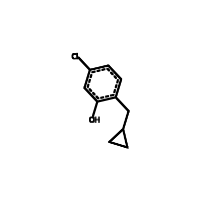 Oc1cc(Cl)ccc1CC1CC1